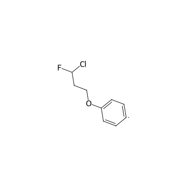 FC(Cl)CCOc1cc[c]cc1